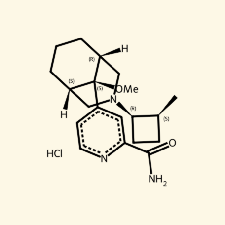 CO[C@]1(c2ccnc(C(N)=O)c2)[C@@H]2CCC[C@H]1CN([C@@H]1CC[C@@H]1C)C2.Cl